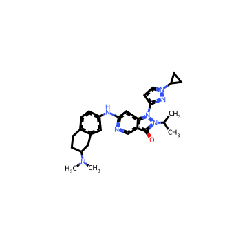 CC(C)n1c(=O)c2cnc(Nc3ccc4c(c3)CC(N(C)C)CC4)cc2n1-c1ccn(C2CC2)n1